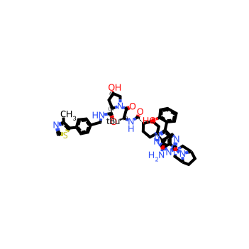 Cc1ncsc1-c1ccc(CNC(=O)[C@@H]2C[C@@H](O)CN2C(=O)[C@@H](NC(=O)[C@H]2CC[C@H](c3cnc(N4C5CCC4CN(c4cc(-c6ccccc6O)nnc4N)C5)nc3)CC2)C(C)(C)C)cc1